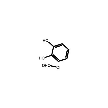 O=CCl.Oc1ccccc1O